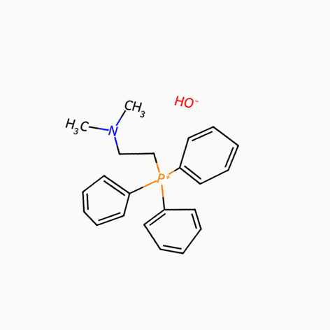 CN(C)CC[P+](c1ccccc1)(c1ccccc1)c1ccccc1.[OH-]